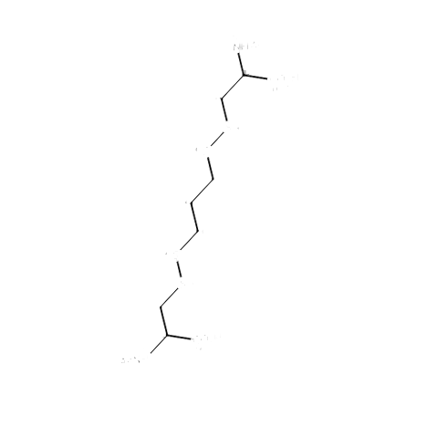 CC(=O)NC(CSSCCCSSCC(NC(C)=O)C(=O)O)C(=O)O